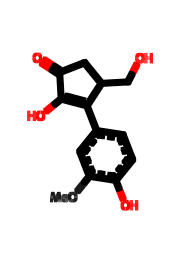 COc1cc(C2=C(O)C(=O)CC2CO)ccc1O